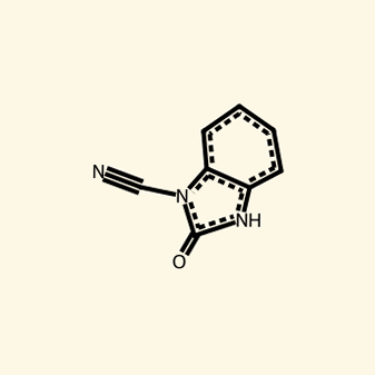 N#Cn1c(=O)[nH]c2ccccc21